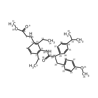 CCc1ccc(NCC(=O)OC)c(CC)c1NC(=O)N(Cc1ccc(OC)cc1)c1ccc(C(C)C)cc1